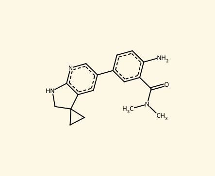 CN(C)C(=O)c1cc(-c2cnc3c(c2)C2(CC2)CN3)ccc1N